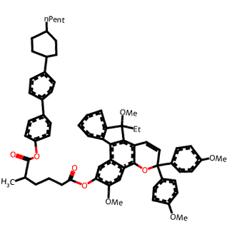 CCCCCC1CCC(c2ccc(-c3ccc(OC(=O)C(C)CCCC(=O)Oc4cc5c6c(c7c(c5cc4OC)OC(c4ccc(OC)cc4)(c4ccc(OC)cc4)C=C7)C(CC)(OC)c4ccccc4-6)cc3)cc2)CC1